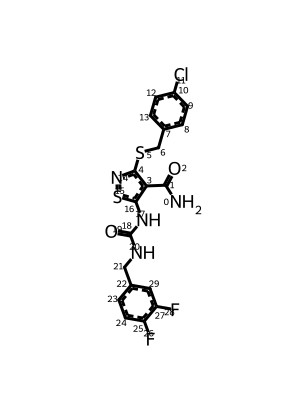 NC(=O)c1c(SCc2ccc(Cl)cc2)nsc1NC(=O)NCc1ccc(F)c(F)c1